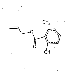 C.C=CCOC(=O)c1ccccc1O